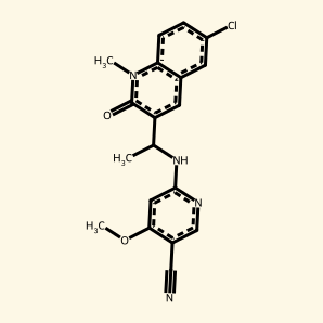 COc1cc(NC(C)c2cc3cc(Cl)ccc3n(C)c2=O)ncc1C#N